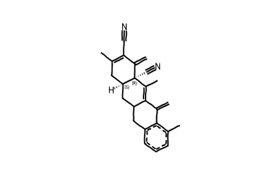 C=C1C2=C(C)[C@]3(C#N)C(=C)C(C#N)=C(C)C[C@@H]3CC2Cc2cccc(C)c21